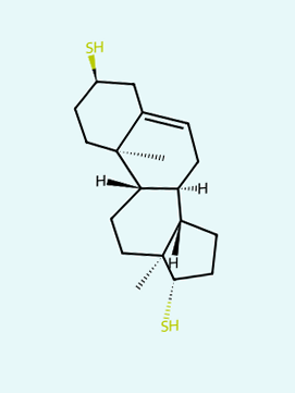 C[C@]12CC[C@H]3[C@@H](CC=C4C[C@H](S)CC[C@@]43C)[C@@H]1CC[C@@H]2S